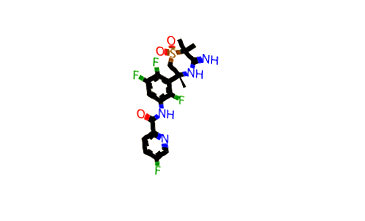 CC1(C)C(=N)N[C@](C)(c2c(F)c(F)cc(NC(=O)c3ccc(F)cn3)c2F)CS1(=O)=O